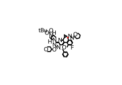 Cc1c(F)cc2c(cnn2C2CCCCO2)c1-c1c(C2CC2)nc2c(N3C[C@@H]4C[C@H]3CN4C(=O)OC(C)(C)C)nc(OC3CCOCC3)nc2c1O[C@@H](C)c1ccccc1